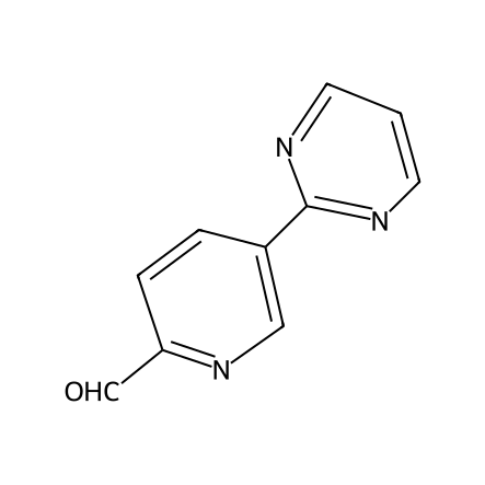 O=Cc1ccc(-c2ncccn2)cn1